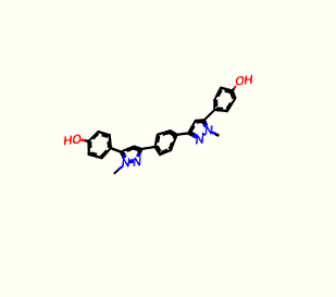 Cn1nc(-c2ccc(-c3cc(-c4ccc(O)cc4)n(C)n3)cc2)cc1-c1ccc(O)cc1